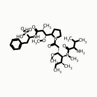 CC[C@H](C)[C@@H]([C@@H](CC(=O)N1CCCC1[C@H](OC)[C@@H](C)C(=O)NC(Cc1ccccc1)P(=O)(O)O)OC)N(C)C(=O)C(N)C(C)C